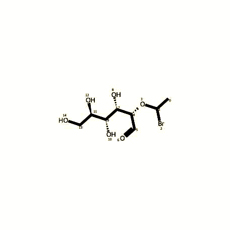 CC(Br)O[C@H](C=O)[C@@H](O)[C@H](O)[C@H](O)CO